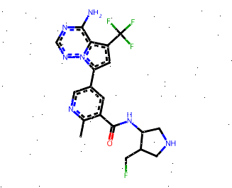 Cc1ncc(-c2cc(C(F)(F)F)c3c(N)ncnn23)cc1C(=O)NC1CNCC1CF